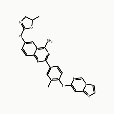 Cc1cc(-c2nc(N)c3cc(NC4=NCC(C)O4)ccc3n2)ccc1Oc1cc2nncn2cn1